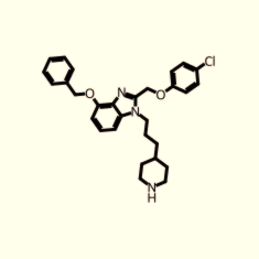 Clc1ccc(OCc2nc3c(OCc4ccccc4)cccc3n2CCCC2CCNCC2)cc1